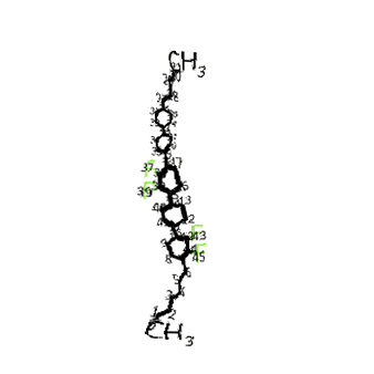 CCCCCCCc1ccc(-c2ccc(-c3ccc(C4=CCC(C5CCC(CCCCC)CC5)CC4)c(F)c3F)cc2)c(F)c1F